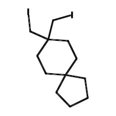 ICC1(CI)CCC2(CCCC2)CC1